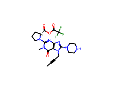 CC#CCn1c(N2CCNCC2)nc2nc(N3CCC[C@@H]3C(=O)OC(=O)C(F)(F)F)n(C)c(=O)c21